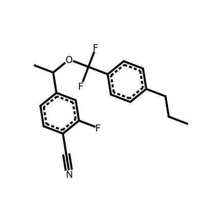 CCCc1ccc(C(F)(F)OC(C)c2ccc(C#N)c(F)c2)cc1